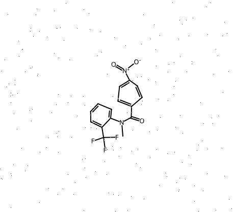 CN(C(=O)c1ccc([N+](=O)[O-])cc1)c1ccccc1C(F)(F)F